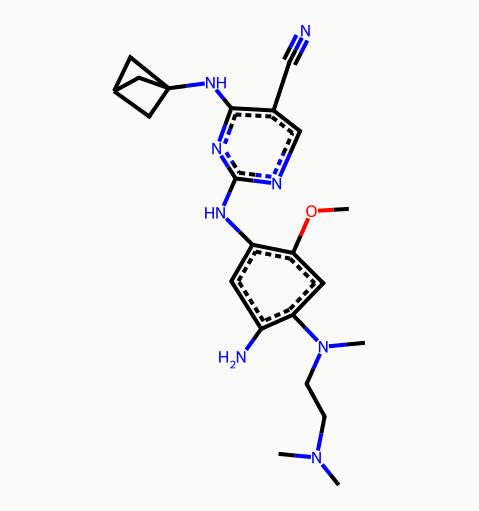 COc1cc(N(C)CCN(C)C)c(N)cc1Nc1ncc(C#N)c(NC23CC(C2)C3)n1